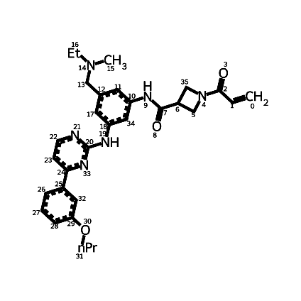 C=CC(=O)N1CC(C(=O)Nc2cc(CN(C)CC)cc(Nc3nccc(-c4cccc(OCCC)c4)n3)c2)C1